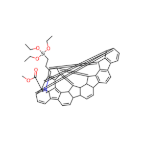 CCO[Si](CCCN1CC23C4=C5C=CC6C7C5=C2c2c5c8c9c%10c(ccc%11c%12ccc%13c%14c(c2c8c(c%10%11)c%14%12)C3(C=%13C=C4)C1C(=O)OC)C1C=CC6C(C=57)C91)(OCC)OCC